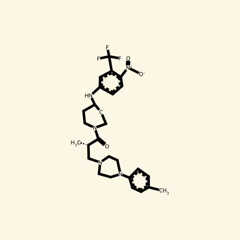 Cc1ccc(N2CCN(C[C@H](C)C(=O)N3CCC(Nc4ccc([N+](=O)[O-])c(C(F)(F)F)c4)CC3)CC2)cc1